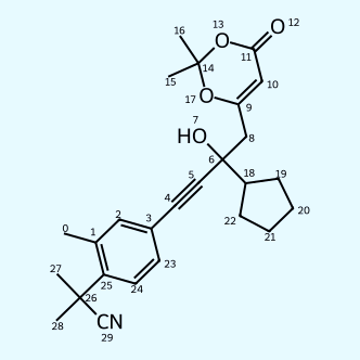 Cc1cc(C#CC(O)(CC2=CC(=O)OC(C)(C)O2)C2CCCC2)ccc1C(C)(C)C#N